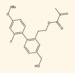 C=C(C)C(=O)OCCc1cc(CO)ccc1-c1ccc(OCCCC)cc1F